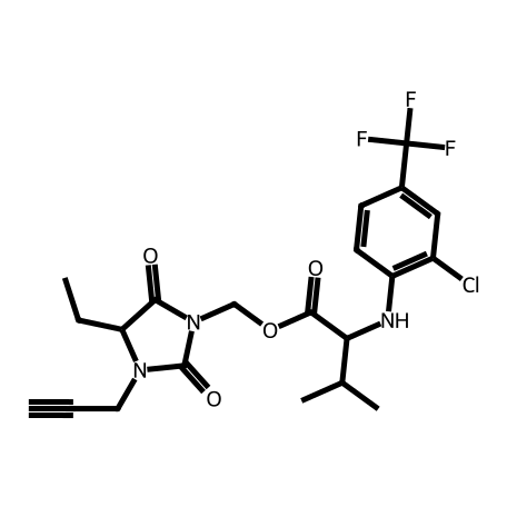 C#CCN1C(=O)N(COC(=O)C(Nc2ccc(C(F)(F)F)cc2Cl)C(C)C)C(=O)C1CC